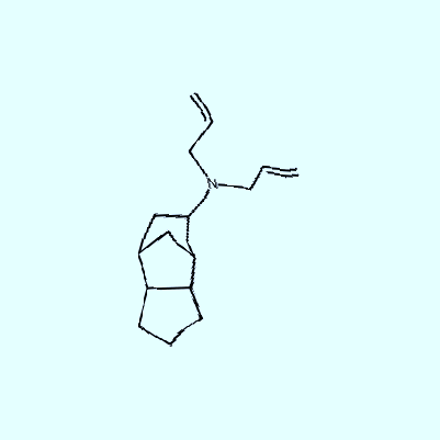 C=CCN(CC=C)C1CC2CC1C1CCCC21